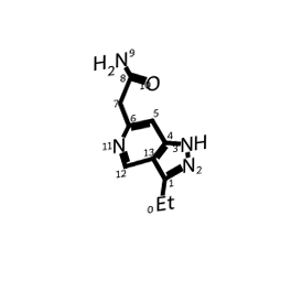 CCc1n[nH]c2cc(CC(N)=O)ncc12